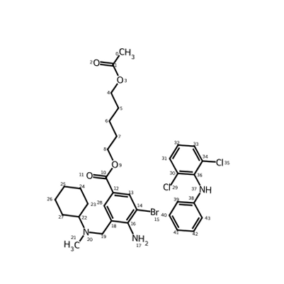 CC(=O)OCCCCCOC(=O)c1cc(Br)c(N)c(CN(C)C2CCCCC2)c1.Clc1cccc(Cl)c1Nc1ccccc1